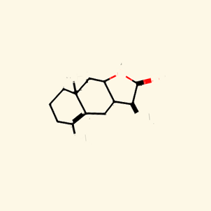 C=C1C(=O)OC2CC3(C)CCCC(C)=C3CC12